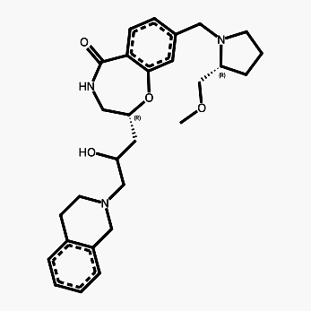 COC[C@H]1CCCN1Cc1ccc2c(c1)O[C@H](CC(O)CN1CCc3ccccc3C1)CNC2=O